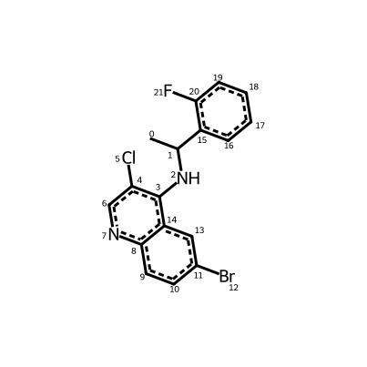 CC(Nc1c(Cl)cnc2ccc(Br)cc12)c1ccccc1F